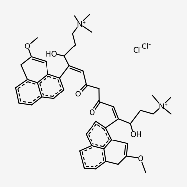 COC1=Cc2c(/C(=C\C(=O)CC(=O)/C=C(\c3ccc4cccc5c4c3C=C(OC)C5)C(O)CC[N+](C)(C)C)C(O)CC[N+](C)(C)C)ccc3cccc(c23)C1.[Cl-].[Cl-]